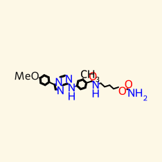 COc1ccc(-c2cnc3c(Nc4ccc(C(=O)NCCCCCOC(N)=O)c(C)c4)nccn23)cc1